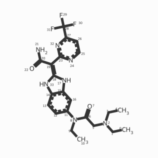 CCN(CC)CC(=O)N(CC)c1ccc2c(c1)NC(=C(C(N)=O)c1nccc(C(F)(F)F)n1)N2